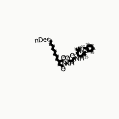 CCCCCCCCCCCCCCCCCCC1CC(=O)N(NC(=O)CC(=O)NC2CC(C)(C)N(Cc3ccccc3)C(C)(C)C2)C1=O